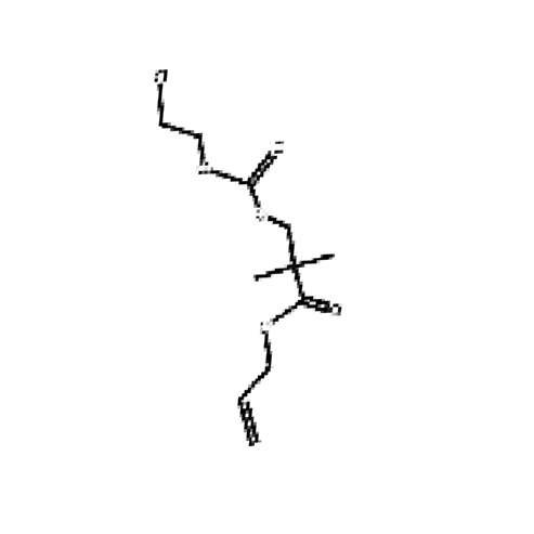 C=CCOC(=O)C(C)(C)COC(=O)OCCCl